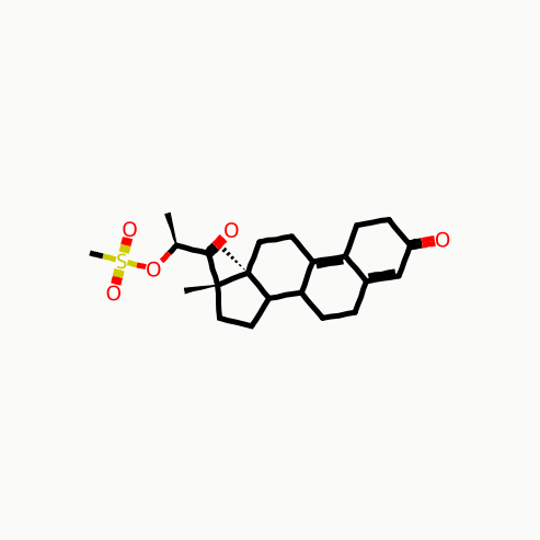 C[C@H](OS(C)(=O)=O)C(=O)[C@@]1(C)CCC2C3CCC4=CC(=O)CCC4=C3CC[C@@]21C